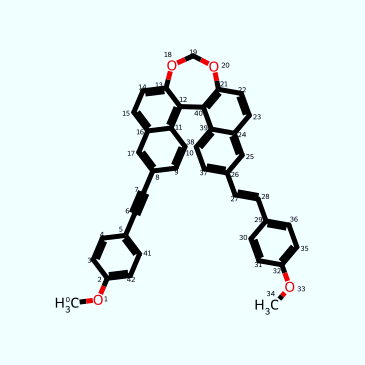 COc1ccc(C#Cc2ccc3c4c(ccc3c2)OCOc2ccc3cc(/C=C/c5ccc(OC)cc5)ccc3c2-4)cc1